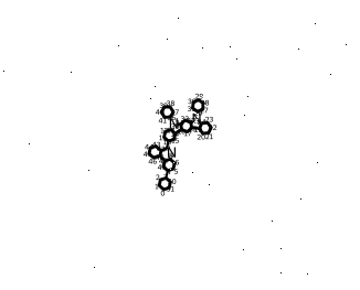 c1ccc(-c2ccc3nc(-c4ccc5c(c4)c4cc6c7ccccc7n(-c7ccccc7)c6cc4n5-c4ccccc4)c4ccccc4c3c2)cc1